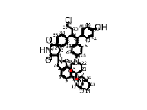 O=C1CCC(N2Cc3ccc(N4CC5CCC(C4)N5CC4CCN(c5ccc(C(=C(CCCl)c6ccccc6)c6ccc(O)cc6)cc5)CC4)cc3C2)C(=O)N1